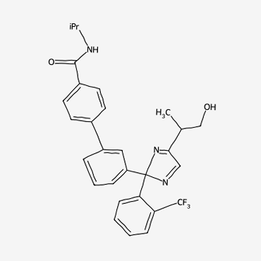 CC(C)NC(=O)c1ccc(-c2cccc(C3(c4ccccc4C(F)(F)F)N=CC(C(C)CO)=N3)c2)cc1